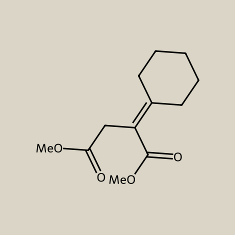 COC(=O)CC(C(=O)OC)=C1CCCCC1